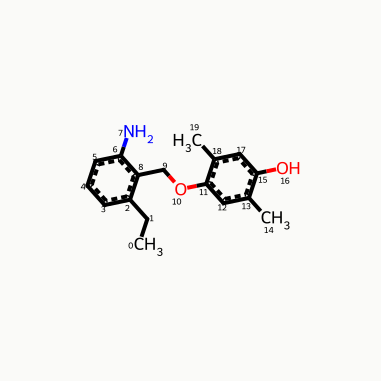 CCc1cccc(N)c1COc1cc(C)c(O)cc1C